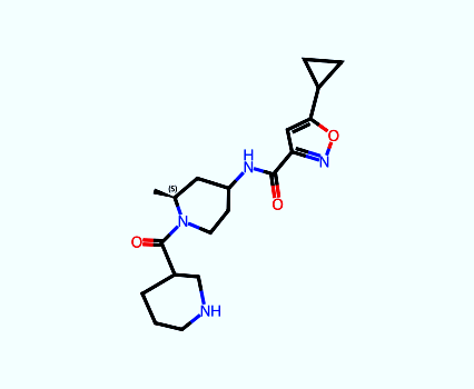 C[C@H]1CC(NC(=O)c2cc(C3CC3)on2)CCN1C(=O)C1CCCNC1